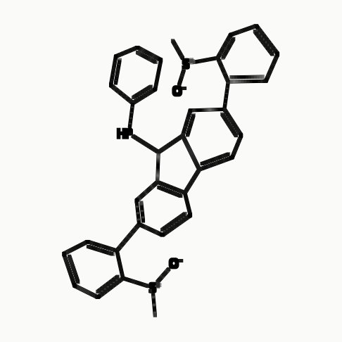 C[S+]([O-])c1ccccc1-c1ccc2c(c1)C(Pc1ccccc1)c1cc(-c3ccccc3[S+](C)[O-])ccc1-2